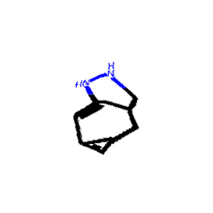 C1=C2C=C3NNCC3CC12